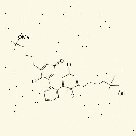 COC(C)(C)CCCCC1=CC(=O)C=C(c2ccccc2C2=CC(=O)C=C(CCCCC(C)(C)CO)C2=O)C1=O